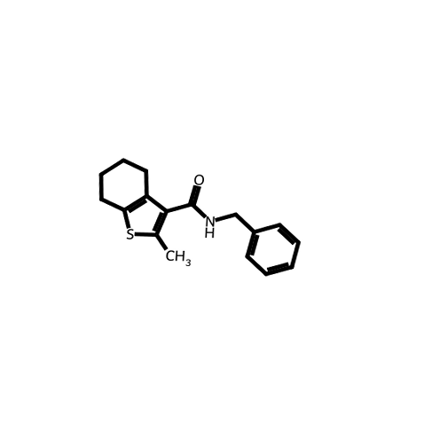 Cc1sc2c(c1C(=O)NCc1ccccc1)CCCC2